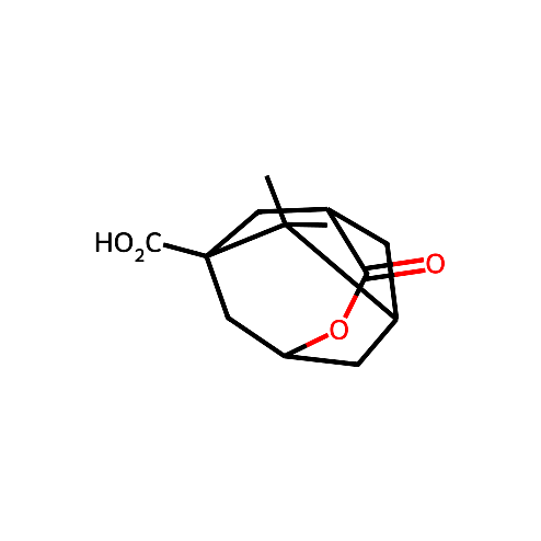 CC1(C)C2CC3CC1(C(=O)O)CC(C2)C(=O)O3